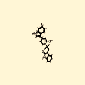 CC(C)(CC1C(=O)Nc2ccccc21)N1CC=C(c2c[nH]c3cc(F)ccc23)CC1.Cl